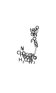 CC1(C)C(NC(=O)c2ccccc2CCCCCCN2CCN(c3cc4c(cc3F)C(=O)N(C3CCC(=O)NC3=O)C4)CC2)C(C)(C)C1Oc1ccc(C#N)c(Cl)c1